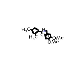 COc1ccc(/C=N\C(C)c2ccc(C)cc2C)cc1OC